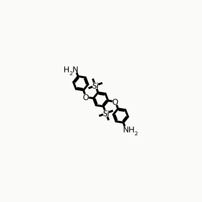 C[Si](C)(C)c1cc(Oc2ccc(N)cc2)c([Si](C)(C)C)cc1Oc1ccc(N)cc1